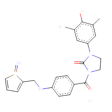 CC(C)(C)c1cc(N2CCN(C(=O)c3ccc(NCC4=CC=CS4=N)cc3)C2=O)cc(C(C)(C)C)c1O.I